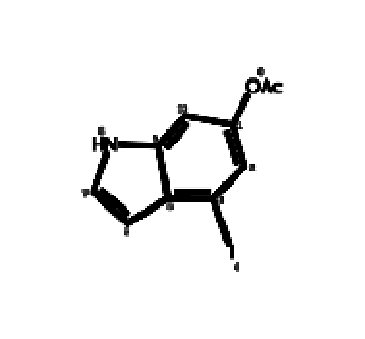 CC(=O)Oc1cc(I)c2cc[nH]c2c1